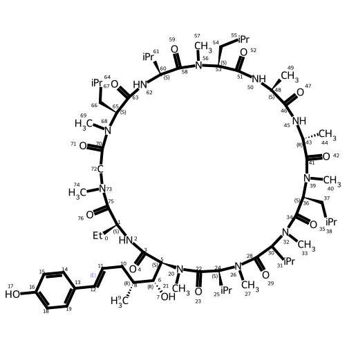 CC[C@@H]1NC(=O)[C@H]([C@H](O)[C@H](C)C/C=C/c2ccc(O)cc2)N(C)C(=O)[C@H](C(C)C)N(C)C(=O)C(C(C)C)N(C)C(=O)[C@H](CC(C)C)N(C)C(=O)[C@@H](C)NC(=O)[C@H](C)NC(=O)[C@H](CC(C)C)N(C)C(=O)[C@H](C(C)C)NC(=O)[C@H](CC(C)C)N(C)C(=O)CN(C)C1=O